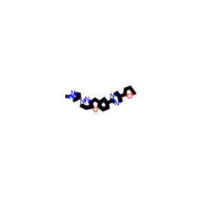 Cn1cc(-n2ccc(=O)c(Cc3cccc(-c4ncc(C5CCCO5)cn4)c3)n2)cn1